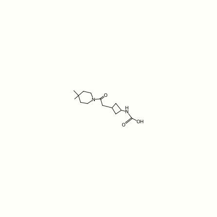 CC1(C)CCN(C(=O)CC2CC(NC(=O)O)C2)CC1